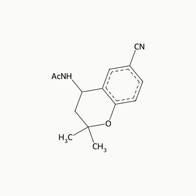 CC(=O)NC1CC(C)(C)Oc2ccc(C#N)cc21